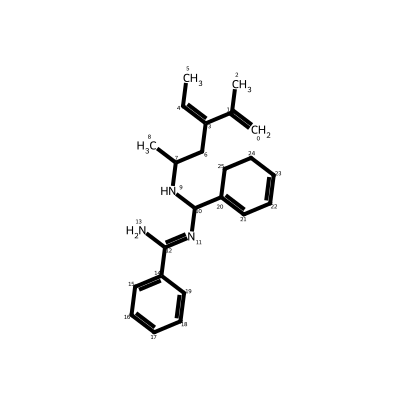 C=C(C)/C(=C\C)CC(C)NC(/N=C(\N)c1ccccc1)C1=CC=CCC1